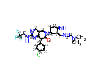 CN(C)CCN/C=C1/C=C(n2cc3cnc(NCC(F)(F)F)nc3c(-c3ccc(Cl)cc3)c2=O)C=CC1=N